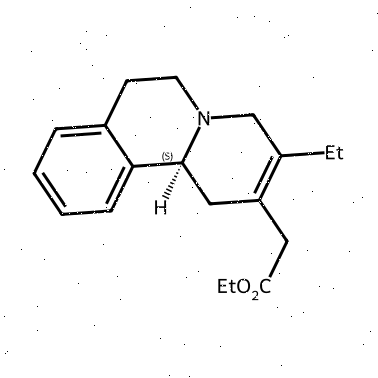 CCOC(=O)CC1=C(CC)CN2CCc3ccccc3[C@@H]2C1